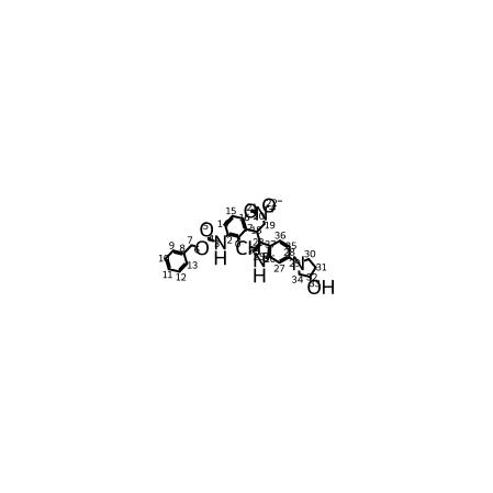 Cc1c(NC(=O)OCc2ccccc2)cccc1C(C[N+](=O)[O-])c1c[nH]c2cc(N3CCC(O)C3)ccc12